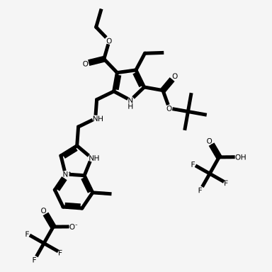 CCOC(=O)c1c(CNCc2c[n+]3cccc(C)c3[nH]2)[nH]c(C(=O)OC(C)(C)C)c1CC.O=C(O)C(F)(F)F.O=C([O-])C(F)(F)F